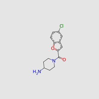 NC1CCN(C(=O)c2cc3cc(Cl)ccc3o2)CC1